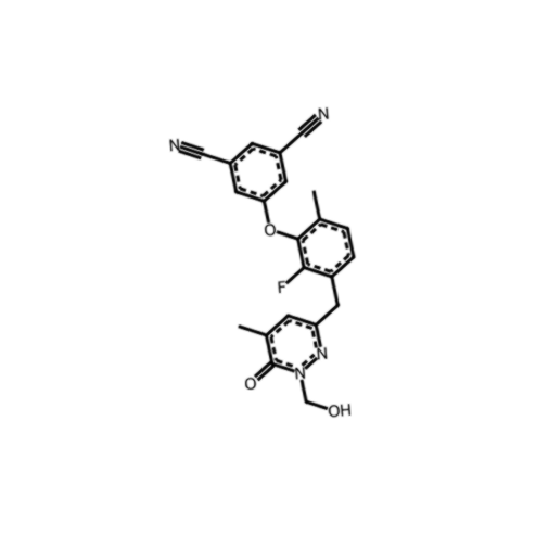 Cc1ccc(Cc2cc(C)c(=O)n(CO)n2)c(F)c1Oc1cc(C#N)cc(C#N)c1